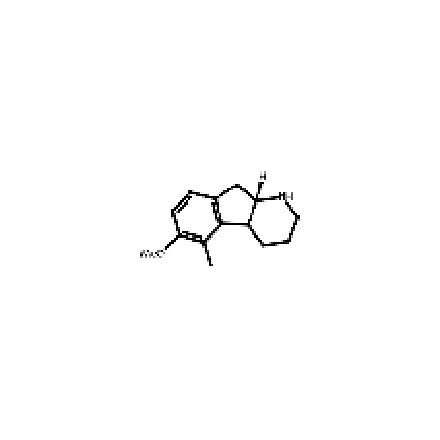 COc1ccc2c(c1C)C1CCCN[C@H]1C2